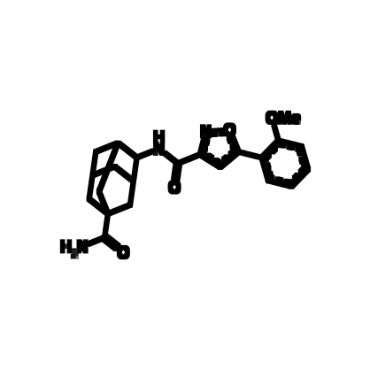 COc1ccccc1-c1cc(C(=O)NC2C3CC4CC2CC(C(N)=O)(C4)C3)no1